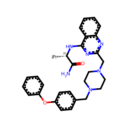 CC(C)[C@H](Nc1nc(CN2CCN(Cc3ccc(Oc4ccccc4)cc3)CC2)nc2ccccc12)C(N)=O